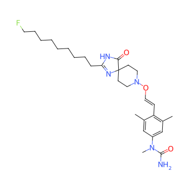 Cc1cc(N(C)C(N)=O)cc(C)c1/C=C/ON1CCC2(CC1)N=C(CCCCCCCCCF)NC2=O